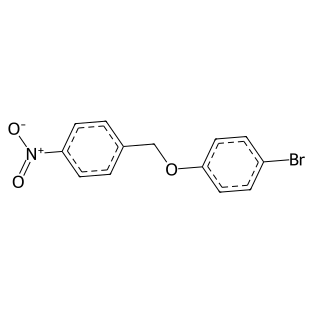 O=[N+]([O-])c1ccc(COc2ccc(Br)cc2)cc1